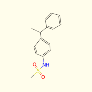 CC(c1ccccc1)c1ccc(NS(C)(=O)=O)cc1